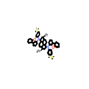 CC(C)c1cc(N(c2ccc(S(C)(C)C)cc2)c2cccc3c2oc2ccccc23)c2ccc3c(C(C)C)cc(N(c4ccc(S(C)(C)C)cc4)c4cccc5c4oc4ccccc45)c4ccc1c2c34